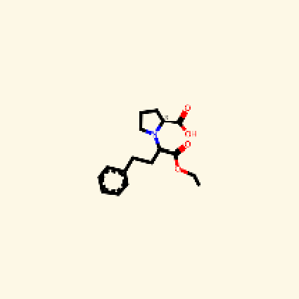 CCOC(=O)C(CCc1ccccc1)N1CCC[C@H]1C(=O)O